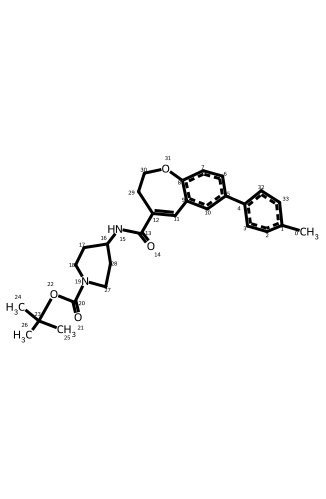 Cc1ccc(-c2ccc3c(c2)C=C(C(=O)NC2CCN(C(=O)OC(C)(C)C)CC2)CCO3)cc1